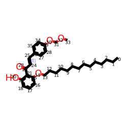 CCCCCCCCCCCCCCOc1cccc(O)c1C(=O)/C=C/c1ccc(OCOC)cc1